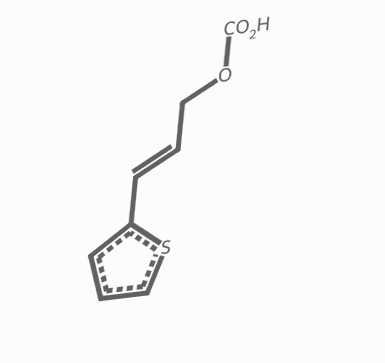 O=C(O)OCC=Cc1cccs1